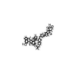 CCc1cccc2cc(O)cc(-c3ncc4c(N5CC6CCC(C5)N6)nc(OCC5(CN6CCC7(CCC(CN8CCN(c9ccc%10c(c9)CN([C@H]9CCC(=O)NC9=O)C%10=O)CC8)CC7)CC6)CC5)nc4c3F)c12